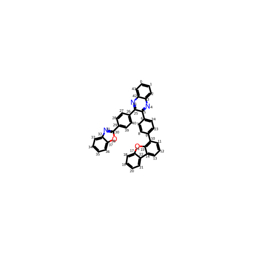 c1ccc2nc(-c3ccc(-c4cccc5c4oc4ccccc45)cc3)c(-c3ccc(-c4nc5ccccc5o4)cc3)nc2c1